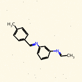 C/C=N/c1cccc(/N=C/c2ccc(C)cc2)c1